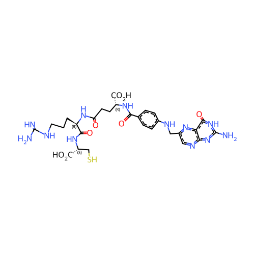 N=C(N)NCCC[C@@H](NC(=O)CC[C@@H](NC(=O)c1ccc(NCc2cnc3nc(N)[nH]c(=O)c3n2)cc1)C(=O)O)C(=O)N[C@H](CS)C(=O)O